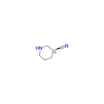 N#C[C@H]1CCCNC1